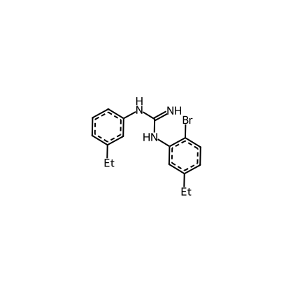 CCc1cccc(NC(=N)Nc2cc(CC)ccc2Br)c1